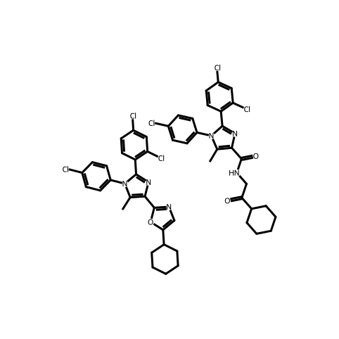 Cc1c(-c2ncc(C3CCCCC3)o2)nc(-c2ccc(Cl)cc2Cl)n1-c1ccc(Cl)cc1.Cc1c(C(=O)NCC(=O)C2CCCCC2)nc(-c2ccc(Cl)cc2Cl)n1-c1ccc(Cl)cc1